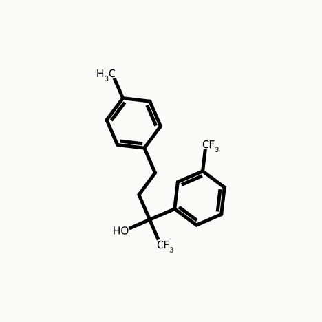 Cc1ccc(CCC(O)(c2cccc(C(F)(F)F)c2)C(F)(F)F)cc1